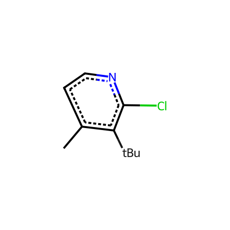 Cc1ccnc(Cl)c1C(C)(C)C